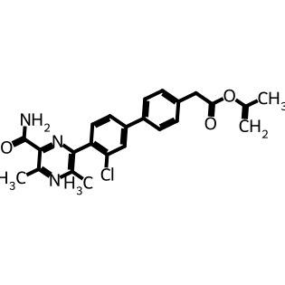 C=C(C)OC(=O)Cc1ccc(-c2ccc(-c3nc(C(N)=O)c(C)nc3C)c(Cl)c2)cc1